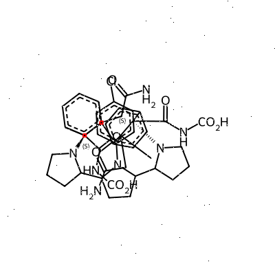 CC1(CC(N)=O)c2ccc(cc2)[C@]1(C(=O)NC(=O)O)N1CCCC1C1CCC(C2CCCN2[C@@]2(C(=O)NC(=O)O)c3ccc(cc3)C2(C)CC(N)=O)N1c1ccc(Cl)cc1